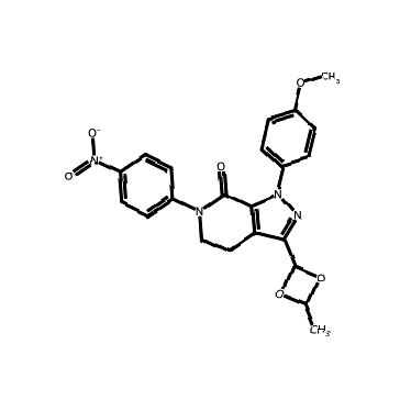 COc1ccc(-n2nc(C3OC(C)O3)c3c2C(=O)N(c2ccc([N+](=O)[O-])cc2)CC3)cc1